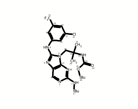 CC(C)(C)Nc1ncc2nc(Nc3cc(Cl)cc(C(F)(F)F)c3)n(CC(C)(C)NC(=O)OC(C)(C)C)c2n1